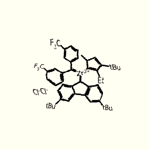 CCC1=[C]([Zr+2](=[C](c2cccc(C(F)(F)F)c2)c2cccc(C(F)(F)F)c2)[CH]2c3ccc(C(C)(C)C)cc3-c3cc(C(C)(C)C)ccc32)C(C)C=C1C(C)(C)C.[Cl-].[Cl-]